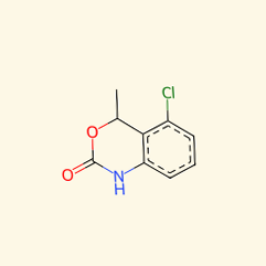 CC1OC(=O)Nc2cccc(Cl)c21